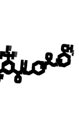 CC1CCCN(CC(=O)N2CCC(CNC(=O)c3cc(C(F)(F)F)cc(C(F)(F)F)c3)CC2)C1